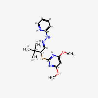 COc1cc(OC)nc(SC(/C=N/Nc2ccccn2)C(C)(C)C)n1